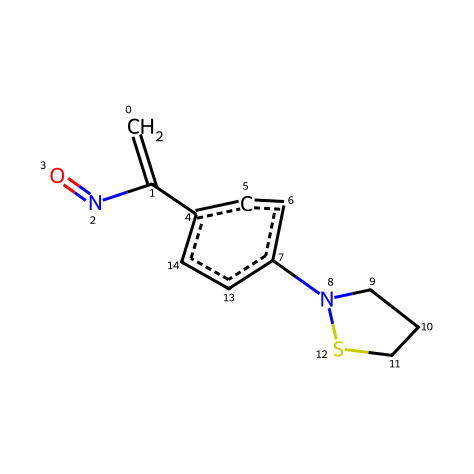 C=C(N=O)c1ccc(N2CCCS2)cc1